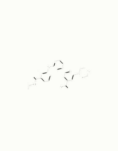 Cc1c(Nc2cc(-c3cc(C(N)=O)cc(N4CCNCC4)n3)ccn2)cccc1C(=O)NC(C)C